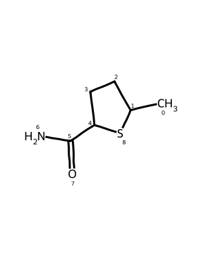 CC1CCC(C(N)=O)S1